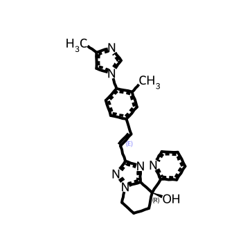 Cc1cn(-c2ccc(/C=C/c3nc4n(n3)CCC[C@@]4(O)c3ccccn3)cc2C)cn1